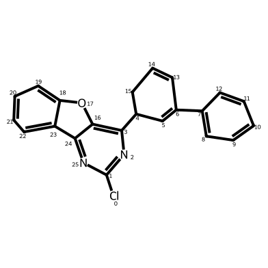 Clc1nc(C2C=C(c3ccccc3)C=CC2)c2oc3ccccc3c2n1